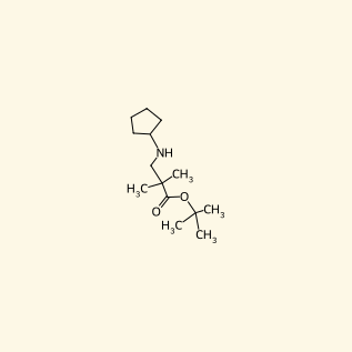 CC(C)(C)OC(=O)C(C)(C)CNC1CCCC1